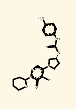 Nc1ccc(NC(=O)O[C@@H]2CCN(c3cnn(C4CCCCO4)c(=O)c3Cl)C2)cc1